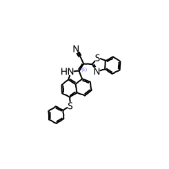 N#C/C(c1nc2ccccc2s1)=c1\[nH]c2ccc(Sc3ccccc3)c3cccc1c23